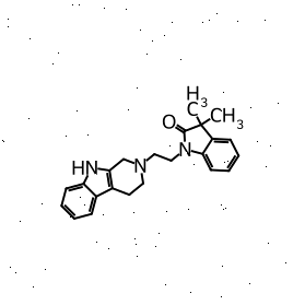 CC1(C)C(=O)N(CCN2CCc3c([nH]c4ccccc34)C2)c2ccccc21